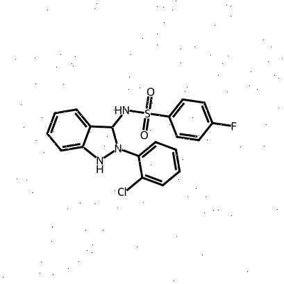 O=S(=O)(NC1c2ccccc2NN1c1ccccc1Cl)c1ccc(F)cc1